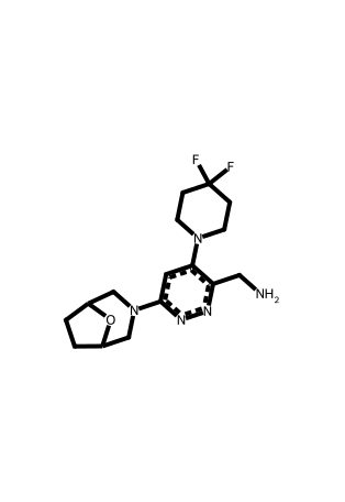 NCc1nnc(N2CC3CCC(C2)O3)cc1N1CCC(F)(F)CC1